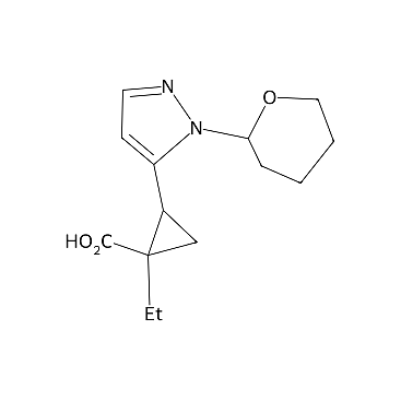 CCC1(C(=O)O)CC1c1ccnn1C1CCCCO1